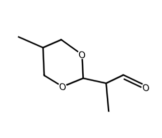 CC1COC(C(C)C=O)OC1